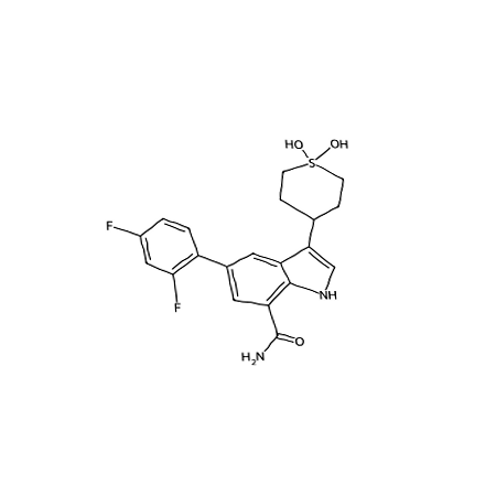 NC(=O)c1cc(-c2ccc(F)cc2F)cc2c(C3CCS(O)(O)CC3)c[nH]c12